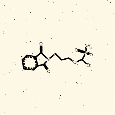 CCC(OCCCN1C(=O)c2ccccc2C1=O)S(N)(=O)=O